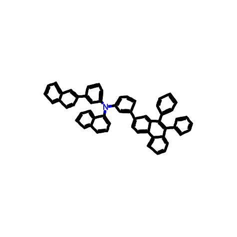 c1ccc(-c2c(-c3ccccc3)c3cc(-c4cccc(N(c5cccc(-c6ccc7ccccc7c6)c5)c5cccc6ccccc56)c4)ccc3c3ccccc23)cc1